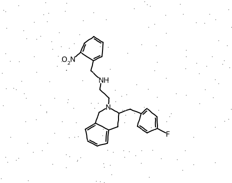 O=[N+]([O-])c1ccccc1CNCCN1Cc2ccccc2CC1Cc1ccc(F)cc1